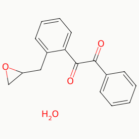 O.O=C(C(=O)c1ccccc1CC1CO1)c1ccccc1